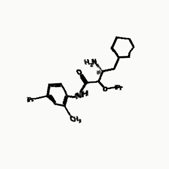 Cc1cc(C(C)C)ccc1NC(=O)C(OC(C)C)[C@H](N)CC1CCCCC1